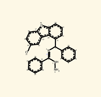 NN/C(=N\C(c1ccccc1)c1cccc2oc3ccc(Cl)cc3c12)c1ccccc1